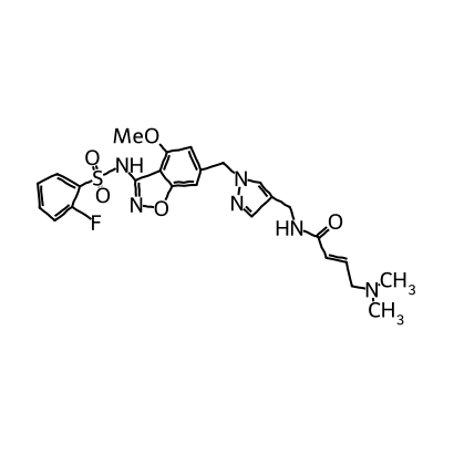 COc1cc(Cn2cc(CNC(=O)/C=C/CN(C)C)cn2)cc2onc(NS(=O)(=O)c3ccccc3F)c12